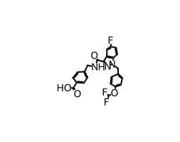 O=C(O)c1ccc(CNC(=O)c2nn(Cc3ccc(OC(F)F)cc3)c3ccc(F)cc23)cc1